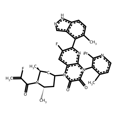 C=C(F)C(=O)N1[C@@H](C)CC(n2c(=O)c(=O)n(-c3c(C)ccnc3C(C)C)c3nc(-c4c(C)ccc5[nH]ncc45)c(F)cc32)C[C@@H]1C